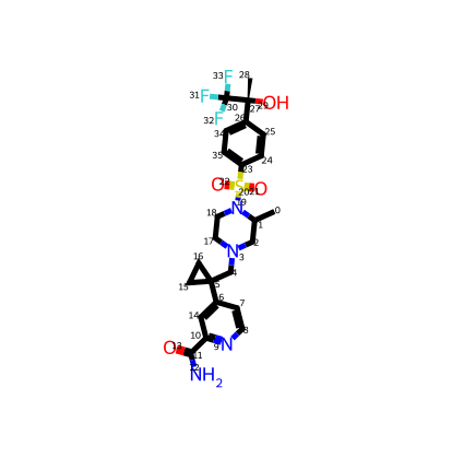 CC1CN(CC2(c3ccnc(C(N)=O)c3)CC2)CCN1S(=O)(=O)c1ccc([C@@](C)(O)C(F)(F)F)cc1